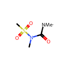 C[N]C(=O)N(C)S(C)(=O)=O